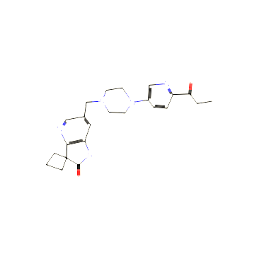 CCC(=O)c1ccc(N2CCN(Cc3cnc4c(c3)NC(=O)C43CCC3)CC2)cn1